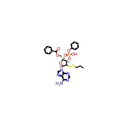 CCCSSC1[C@@H](OP(=O)(O)Oc2ccccc2)[C@@H](COC(=O)c2ccccc2)O[C@H]1n1cnc2c(N)ncnc21